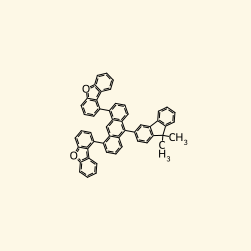 CC1(C)c2ccccc2-c2cc(-c3c4cccc(-c5cccc6oc7ccccc7c56)c4cc4c(-c5cccc6oc7ccccc7c56)cccc34)ccc21